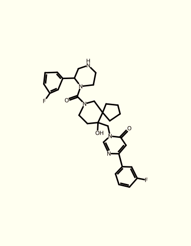 O=C(N1CCC(O)(Cn2cnc(-c3cccc(F)c3)cc2=O)C2(CCCC2)C1)N1CCNCC1c1cccc(F)c1